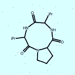 CC(C)C1NC(=O)C2CCCN2C(=O)C(C(C)C)NC1=O